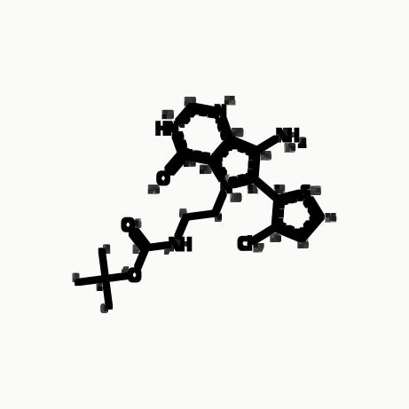 CC(C)(C)OC(=O)NCCn1c(-c2sccc2Cl)c(N)c2nc[nH]c(=O)c21